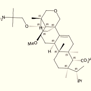 CO[C@@H]1C[C@@]23COC[C@](C)([C@@H]2CC[C@H]2C3=CC[C@@]3(C)[C@H](C(=O)O)[C@@](C)([C@H](C)C(C)C)CC[C@]23C)[C@H]1OCC(C)(C)N